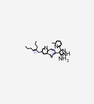 CCC/C=C(\CCC)Cc1cnc2c(c1)/C=C/C=C(c1c(-c3cccc(C)n3)n[nH]c1N)/C=C\2